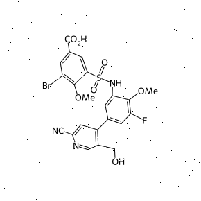 COc1c(F)cc(-c2cc(C#N)ncc2CO)cc1NS(=O)(=O)c1cc(C(=O)O)cc(Br)c1OC